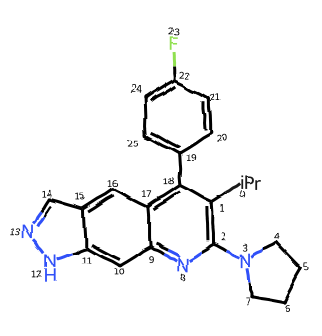 CC(C)c1c(N2CCCC2)nc2cc3[nH]ncc3cc2c1-c1ccc(F)cc1